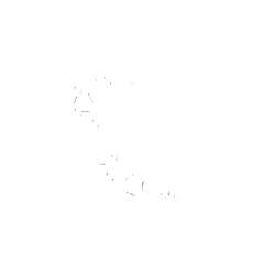 COc1ccc2c(c1)CCN(C1CCN(c3cc(C(=O)N4CC[C@@H]5CCCC[C@@H]5C4)ncn3)CC1)C(=O)N2